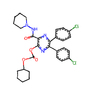 O=C(Oc1nc(-c2ccc(Cl)cc2)c(-c2ccc(Cl)cc2)nc1C(=O)NN1CCCCC1)OC1CCCCC1